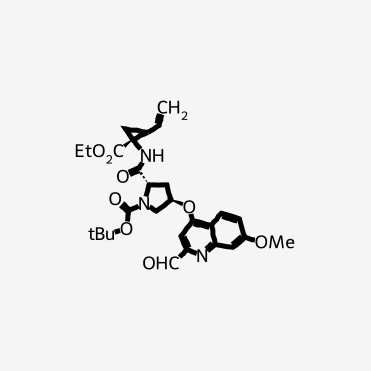 C=CC1C[C@]1(NC(=O)[C@@H]1C[C@@H](Oc2cc(C=O)nc3cc(OC)ccc23)CN1C(=O)OC(C)(C)C)C(=O)OCC